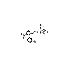 C[Si](C)(C)COCCn1ncc([N+](=O)[O-])c1-c1cccc(Br)c1